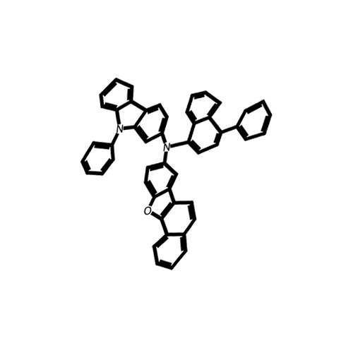 c1ccc(-c2ccc(N(c3ccc4oc5c6ccccc6ccc5c4c3)c3ccc4c5ccccc5n(-c5ccccc5)c4c3)c3ccccc23)cc1